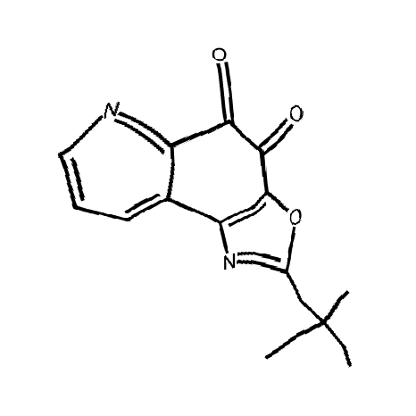 CC(C)(C)c1nc2c(o1)C(=O)C(=O)c1ncccc1-2